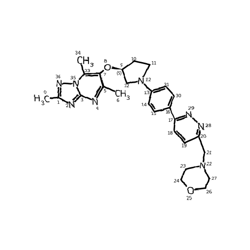 Cc1nc2nc(C)c(O[C@H]3CCN(c4ccc(-c5ccc(CN6CCOCC6)nn5)cc4)C3)c(C)n2n1